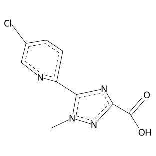 Cn1nc(C(=O)O)nc1-c1ccc(Cl)cn1